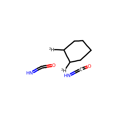 N=C=O.N=C=O.[2H]C1CCCCC1[2H]